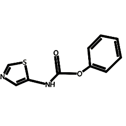 O=C(Nc1cncs1)Oc1ccccc1